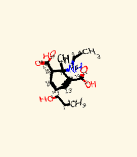 CCCO.CCNC1(C)C(C(=O)O)=CC=CC1C(=O)O